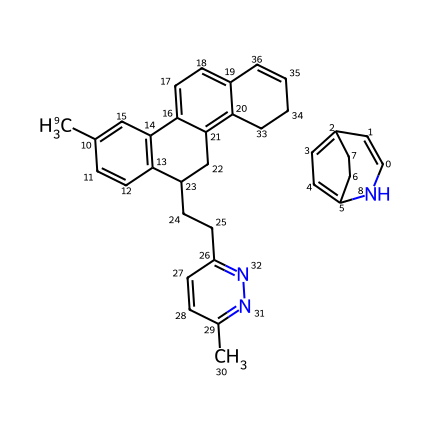 C1=CC2=CC=C(CC2)N1.Cc1ccc2c(c1)-c1ccc3c(c1CC2CCc1ccc(C)nn1)CCC=C3